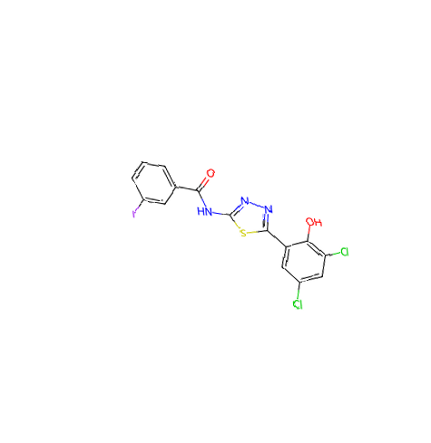 O=C(Nc1nnc(-c2cc(Cl)cc(Cl)c2O)s1)c1cccc(I)c1